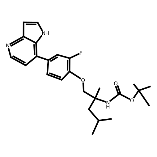 CC(C)CC(C)(COc1ccc(-c2ccnc3cc[nH]c23)cc1F)NC(=O)OC(C)(C)C